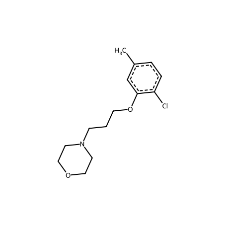 Cc1ccc(Cl)c(OCCCN2CCOCC2)c1